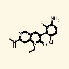 CCn1c(=O)c(-c2c(Cl)ccc(N)c2F)cc2cnc(NC)cc21